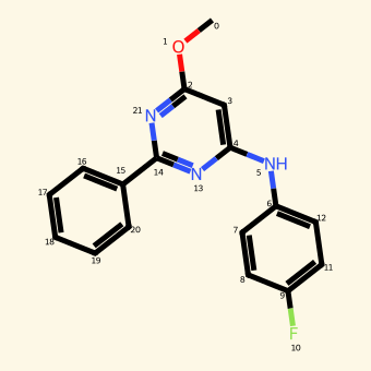 COc1cc(Nc2ccc(F)cc2)nc(-c2ccccc2)n1